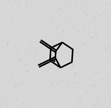 C=C1C(=C)C2CC=C1CC2